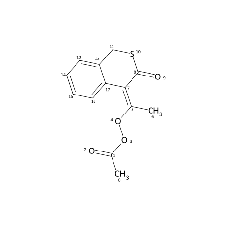 CC(=O)OOC(C)=C1C(=O)SCc2ccccc21